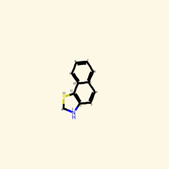 [C]1Nc2ccc3ccccc3c2S1